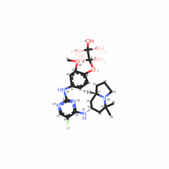 BC(B)(O)C(B)(B)Oc1ccc(Nc2ncc(F)c(N[C@@H]3C[C@@H]4CCCN4C(C)(C)C3)n2)cc1OC